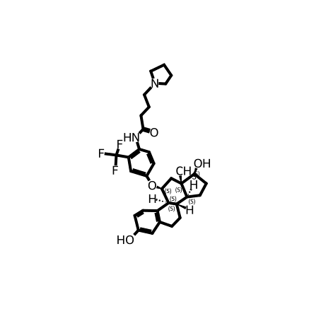 C[C@]12C[C@H](Oc3ccc(NC(=O)CCCN4CCCC4)c(C(F)(F)F)c3)[C@@H]3c4ccc(O)cc4CC[C@H]3[C@@H]1CC[C@@H]2O